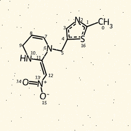 Cc1ncc(CN2C=CCNC2=C[N+](=O)[O-])s1